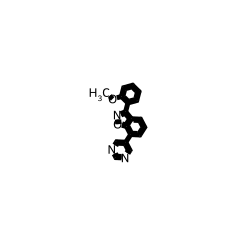 COc1ccccc1-c1noc2c(-c3cncnc3)cccc12